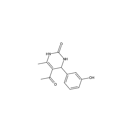 CC(=O)C1=C(C)NC(=O)NC1c1cccc(O)c1